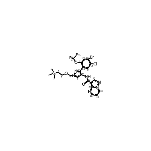 C[Si](C)(C)CCOCn1cc(NC(=O)c2cnn3cccnc23)c(-c2cc(Cl)c(Br)cc2OC(F)F)n1